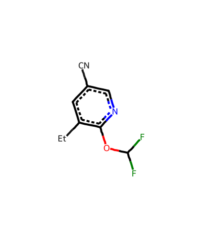 CCc1cc(C#N)cnc1OC(F)F